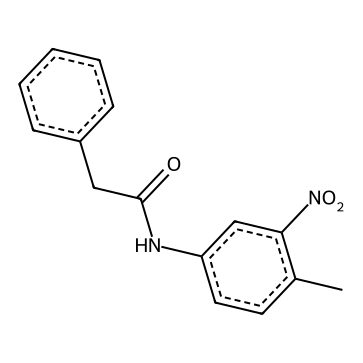 Cc1ccc(NC(=O)Cc2ccccc2)cc1[N+](=O)[O-]